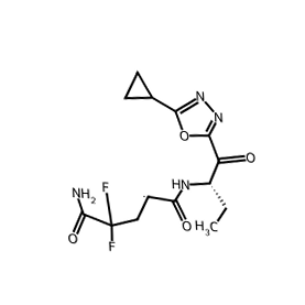 CC[C@H](NC(=O)[CH]CC(F)(F)C(N)=O)C(=O)c1nnc(C2CC2)o1